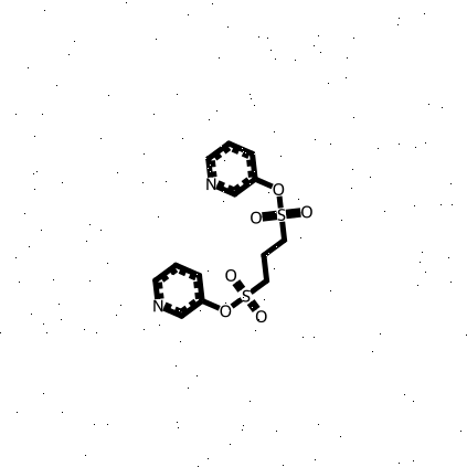 O=S(=O)(CCCS(=O)(=O)Oc1cccnc1)Oc1cccnc1